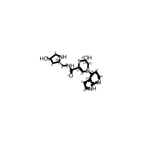 Cl.O=C(NC[C@H]1C[C@@H](O)CN1)C1=CN(c2ccnc3[nH]ccc23)CCS1